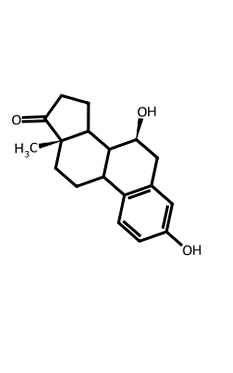 C[C@]12CCC3c4ccc(O)cc4C[C@H](O)C3C1CCC2=O